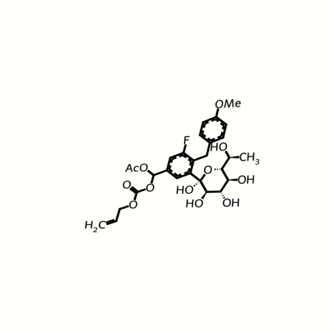 C=CCOC(=O)OC(OC(C)=O)c1cc(F)c(Cc2ccc(OC)cc2)c([C@@]2(O)O[C@H]([C@H](C)O)[C@@H](O)[C@H](O)[C@H]2O)c1